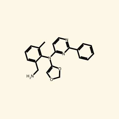 Cc1cccc(CN)c1N(C1=COCO1)c1ccnc(-c2ccccc2)n1